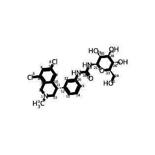 CN1Cc2c(Cl)cc(Cl)cc2[C@H](c2cccc(NC(=O)N[C@@H]3O[C@H](CO)[C@@H](O)[C@H](O)[C@H]3O)c2)C1